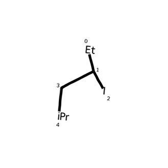 CCC(I)CC(C)C